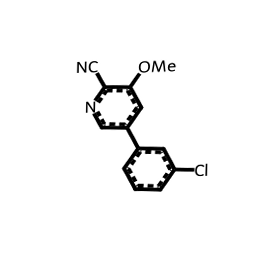 COc1cc(-c2cccc(Cl)c2)cnc1C#N